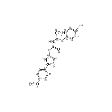 CCOc1ccc(-c2nc(CC(=O)NC(Cc3ccc(F)cc3)C(=O)O)cs2)cc1